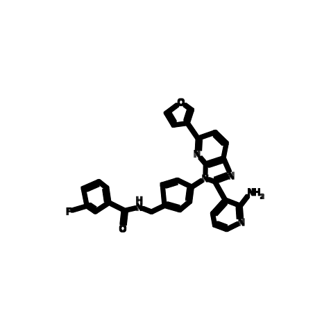 Nc1ncccc1-c1nc2ccc(-c3ccoc3)nc2n1-c1ccc(CNC(=O)c2cccc(F)c2)cc1